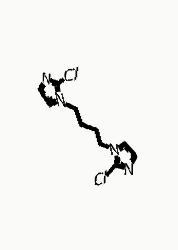 Clc1nccn1CCCCn1ccnc1Cl